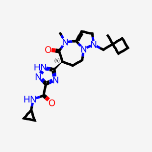 CN1C(=O)[C@H](c2nc(C(=O)NC3CC3)n[nH]2)CCN2C1=CCN2CC1(C)CCC1